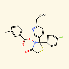 COCc1ccc(C2(c3ccc(F)cc3)SCC(=O)N2OC(=O)c2cccc(C)c2)cn1